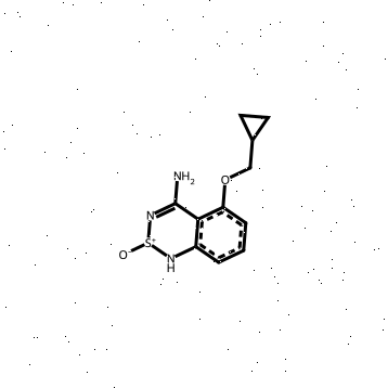 NC1=N[S+]([O-])Nc2cccc(OCC3CC3)c21